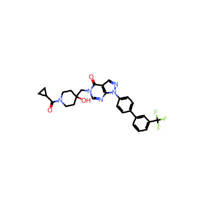 O=C(C1CC1)N1CCC(O)(Cn2cnc3c(cnn3-c3ccc(-c4cccc(C(F)(F)F)c4)cc3)c2=O)CC1